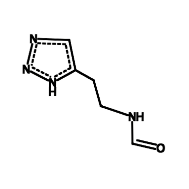 O=CNCCc1cnn[nH]1